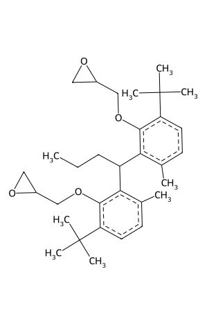 CCCC(c1c(C)ccc(C(C)(C)C)c1OCC1CO1)c1c(C)ccc(C(C)(C)C)c1OCC1CO1